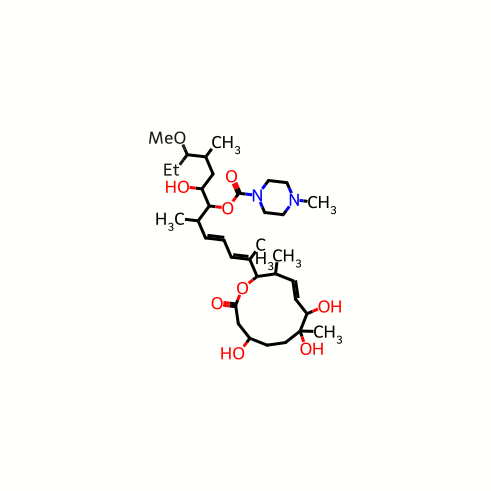 CCC(OC)C(C)CC(O)C(OC(=O)N1CCN(C)CC1)C(C)/C=C/C=C(\C)C1OC(=O)CC(O)CCC(C)(O)C(O)/C=C/C1C